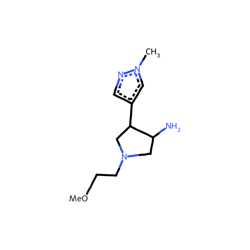 COCCN1CC(N)C(c2cnn(C)c2)C1